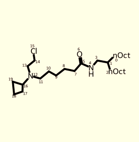 CCCCCCCCC(CCCCCCCC)CNC(=O)CCCCCN(CCCl)C1CCC1